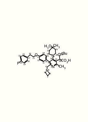 Cc1nc(CN2CCC2)c(-c2ccc(OCCc3ccc(F)cc3)cc2)c(N2CCC(C)(C)CC2)c1C(OC(C)(C)C)C(=O)O